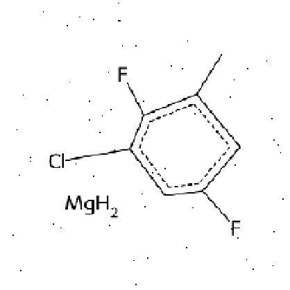 Cc1cc(F)cc(Cl)c1F.[MgH2]